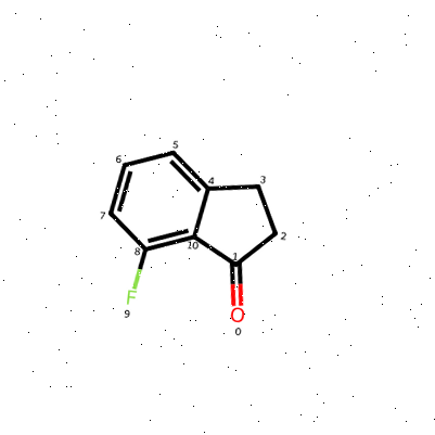 O=C1CCc2cccc(F)c21